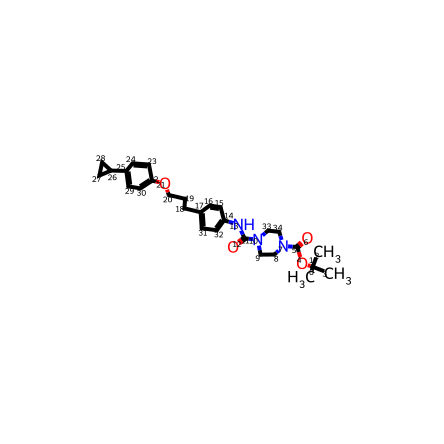 CC(C)(C)OC(=O)N1CCN(C(=O)Nc2ccc(CCCOc3ccc(C4CC4)cc3)cc2)CC1